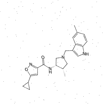 Cc1ccc2[nH]cc(CN3C[C@H](C)[C@H](NC(=O)c4cc(C5CC5)on4)C3)c2c1